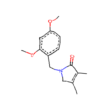 COc1ccc(CN2CC(C)=C(C)C2=O)c(OC)c1